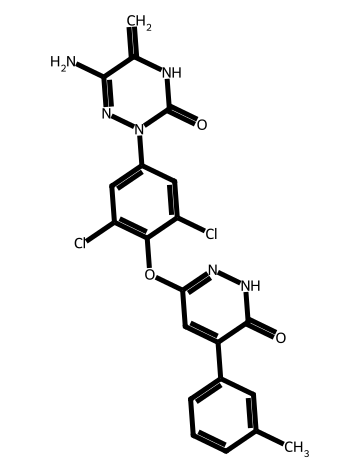 C=C1NC(=O)N(c2cc(Cl)c(Oc3cc(-c4cccc(C)c4)c(=O)[nH]n3)c(Cl)c2)N=C1N